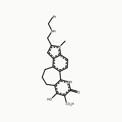 CC(C)CNCc1cc2c3c(ccc2n1C)-c1[nH]c(=O)c(C(=O)O)c(O)c1CCC3